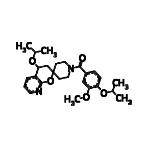 COc1cc(C(=O)N2CCC3(CC2)CC(OC(C)C)c2cccnc2O3)ccc1OC(C)C